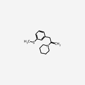 C=C(Cc1cccc(SC)c1)N1CCCCC1